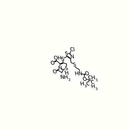 CC(C)(C)OC(=O)NCCSCc1nc(Cl)sc1SC1=C(C(=O)O)N2C(=O)[C@@H](N)[C@@H]2SC1